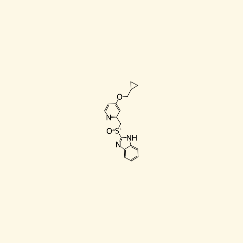 [O-][S+](Cc1cc(OCC2CC2)ccn1)c1nc2ccccc2[nH]1